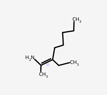 CCCCC/C(CC)=C(/C)N